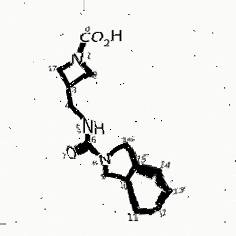 O=C(O)N1CC(CNC(=O)N2Cc3ccccc3C2)C1